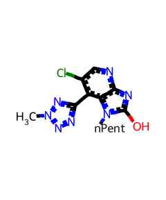 CCCCCn1c(O)nc2ncc(Cl)c(-c3nnn(C)n3)c21